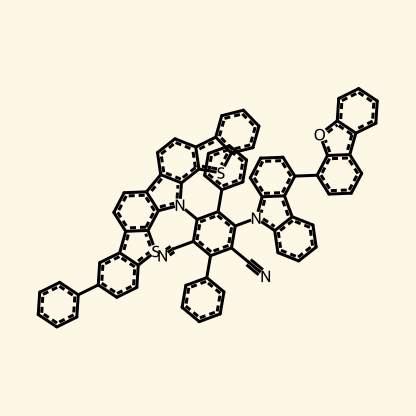 N#Cc1c(-c2ccccc2)c(C#N)c(-n2c3c(ccc4c5ccccc5sc43)c3ccc4c5cc(-c6ccccc6)ccc5sc4c32)c(-c2ccccc2)c1-n1c2ccccc2c2c(-c3cccc4c3oc3ccccc34)cccc21